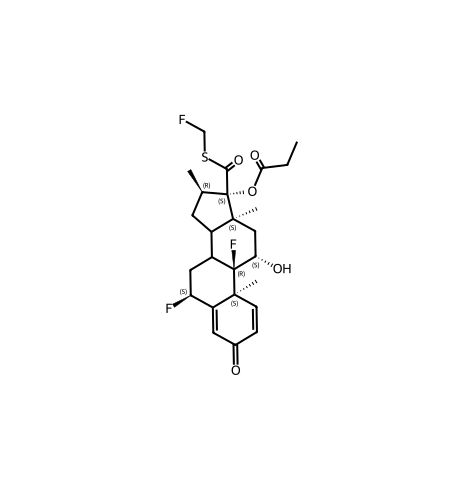 CCC(=O)O[C@@]1(C(=O)SCF)[C@H](C)CC2C3C[C@H](F)C4=CC(=O)C=C[C@]4(C)[C@@]3(F)[C@@H](O)C[C@@]21C